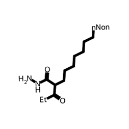 CCCCCCCCCCCCCCCCC(C(=O)CC)C(=O)NN